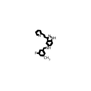 Cc1cc(F)cc(CNc2ccc3[nH]nc(/C=C/c4ccccn4)c3c2)c1